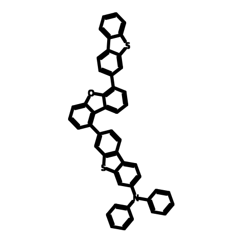 c1ccc(N(c2ccccc2)c2ccc3c(c2)sc2cc(-c4cccc5oc6c(-c7ccc8c(c7)sc7ccccc78)cccc6c45)ccc23)cc1